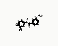 CSc1cccc(C(=O)Nc2ccc(F)c(Cl)c2)c1